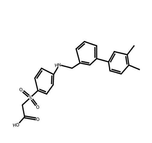 Cc1ccc(-c2cccc(CNc3ccc(S(=O)(=O)CC(=O)O)cc3)c2)cc1C